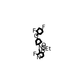 CCS(=O)(=O)N(Cc1cccnc1F)c1ccc(Oc2ccc(F)cc2F)cc1